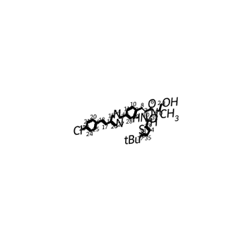 C[C@H](CO)NC(=O)[C@H](Cc1ccc(-c2ncc(/C=C/c3ccc(Cl)cc3)cn2)cc1)NC(=O)c1ccc(C(C)(C)C)s1